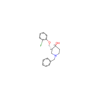 O[C@H]1CCN(Cc2ccccc2)C[C@@H]1COc1ccccc1F